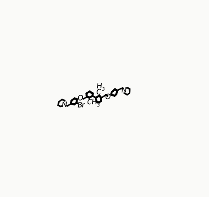 Cc1c(COc2ccc(CN3CCCCC3)cc2)cccc1-c1cccc(COc2ccc(CN3CCCCC3)cc2Br)c1C